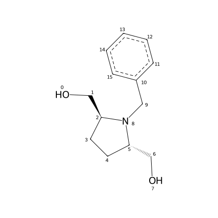 OC[C@@H]1CC[C@@H](CO)N1Cc1ccccc1